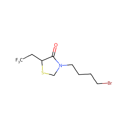 O=C1C(CC(F)(F)F)SCN1CCCCBr